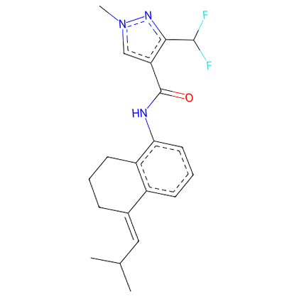 CC(C)C=C1CCCc2c(NC(=O)c3cn(C)nc3C(F)F)cccc21